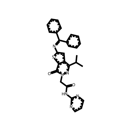 CC(C)c1nn(CC(=O)Nc2ncccn2)c(=O)c2sc(N=C(c3ccccc3)c3ccccc3)cc12